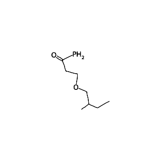 CCC(C)COCCC(=O)P